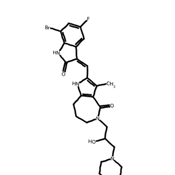 Cc1c(C=C2C(=O)Nc3c(Br)cc(F)cc32)[nH]c2c1C(=O)N(CC(O)CN1CCOCC1)CCC2